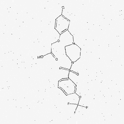 O=C(O)COc1ccc(Cl)cc1CN1CCN(S(=O)(=O)c2cccc(OC(F)(F)F)c2)CC1